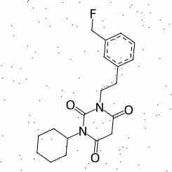 O=C1CC(=O)N(C2CCCCC2)C(=O)N1CCc1cccc(CF)c1